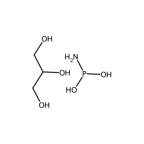 NP(O)O.OCC(O)CO